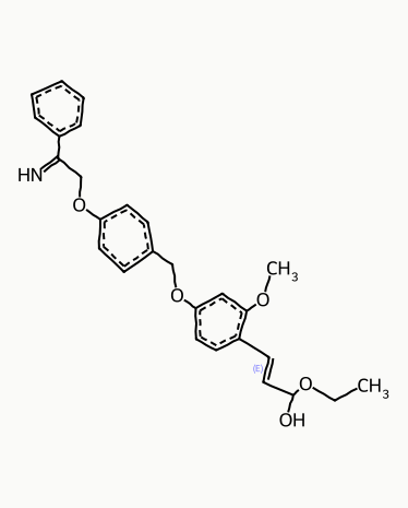 CCOC(O)/C=C/c1ccc(OCc2ccc(OCC(=N)c3ccccc3)cc2)cc1OC